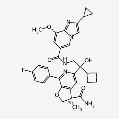 COc1cc(C(=O)NCC(O)(c2cc3c(c(-c4ccc(F)cc4)n2)OC[C@]3(C)C(N)=O)C2CCC2)cn2cc(C3CC3)nc12